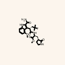 COC(=O)[C@H](C[C@@H]1CCNC1=O)NC(=O)[C@@H](CC(C)(C)F)c1c(C(N)=O)[nH]c2cccc(OC)c12